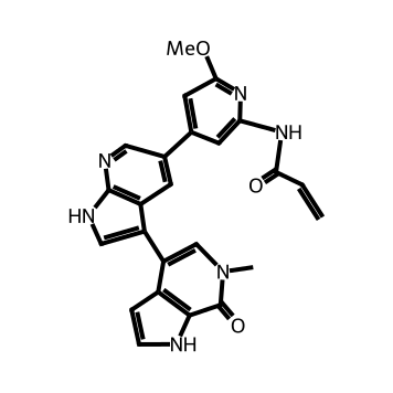 C=CC(=O)Nc1cc(-c2cnc3[nH]cc(-c4cn(C)c(=O)c5[nH]ccc45)c3c2)cc(OC)n1